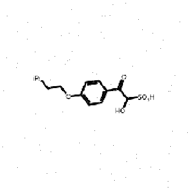 CC(C)CCOc1ccc(C(=O)C(O)S(=O)(=O)O)cc1